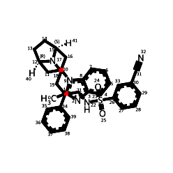 Cc1nc2ccccc2n1C1C[C@H]2CC[C@@H](C1)N2CCC(CNS(=O)(=O)c1cccc(C#N)c1)c1ccccc1